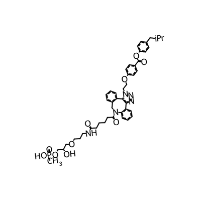 CC(C)Cc1ccc(OC(=O)c2ccc(OCCn3nnc4c3-c3ccccc3CN(C(=O)CCCCC(=O)NCCCOCC(O)COP(C)(=O)O)c3ccccc3-4)cc2)cc1